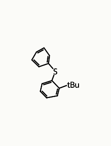 CC(C)(C)c1ccccc1Sc1ccccc1